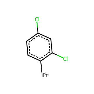 C[C](C)c1ccc(Cl)cc1Cl